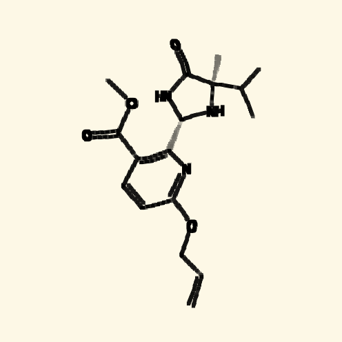 C=CCOc1ccc(C(=O)OC)c([C@@H]2NC(=O)[C@@](C)(C(C)C)N2)n1